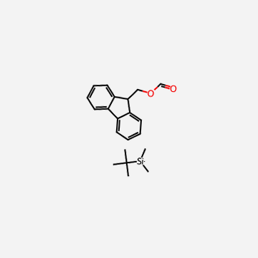 C[Si](C)C(C)(C)C.O=COCC1c2ccccc2-c2ccccc21